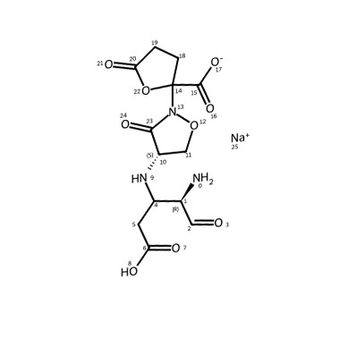 N[C@@H](C=O)C(CC(=O)O)N[C@H]1CON(C2(C(=O)[O-])CCC(=O)O2)C1=O.[Na+]